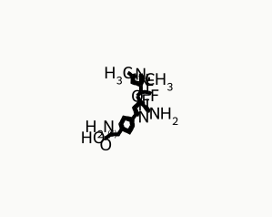 Cc1cc(C(Oc2cc(-c3ccc(C[C@H](N)C(=O)O)cc3)nc(N)n2)C(F)(F)F)n(C)n1